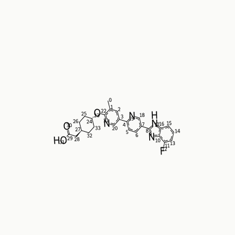 Cc1cc(-c2ccc(-c3nc4c(F)cccc4[nH]3)cn2)cnc1O[C@H]1CC[C@H](CC(=O)O)CC1